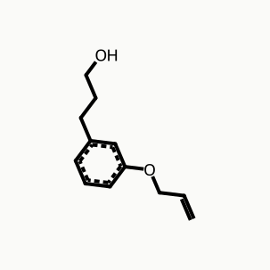 C=CCOc1cccc(CCCO)c1